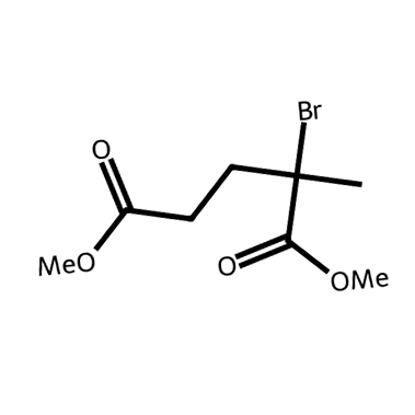 COC(=O)CCC(C)(Br)C(=O)OC